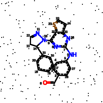 O=Cc1ccc(Nc2nc(N3N=CCC3c3ccccc3)c3sccc3n2)cc1